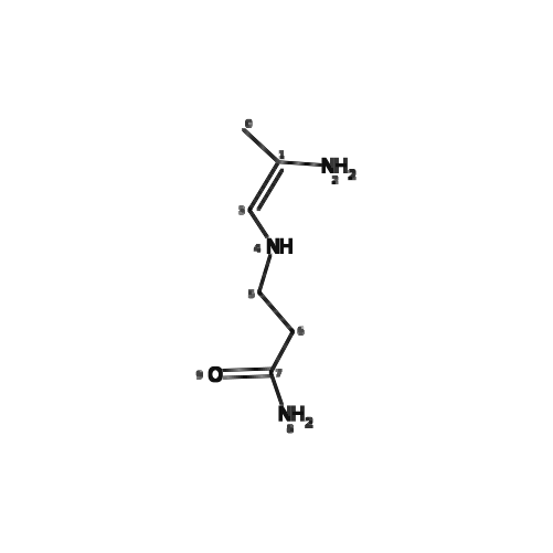 CC(N)=CNCCC(N)=O